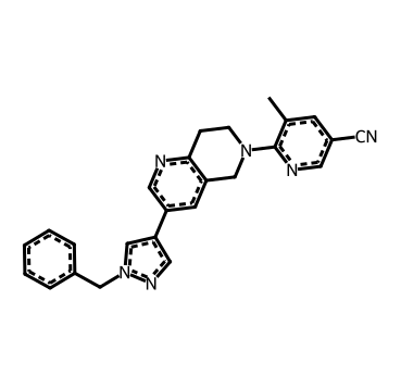 Cc1cc(C#N)cnc1N1CCc2ncc(-c3cnn(Cc4ccccc4)c3)cc2C1